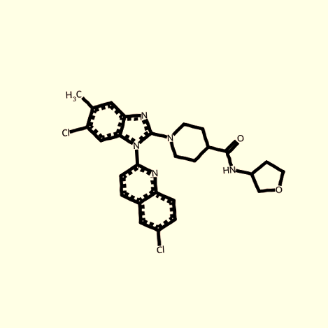 Cc1cc2nc(N3CCC(C(=O)NC4CCOC4)CC3)n(-c3ccc4cc(Cl)ccc4n3)c2cc1Cl